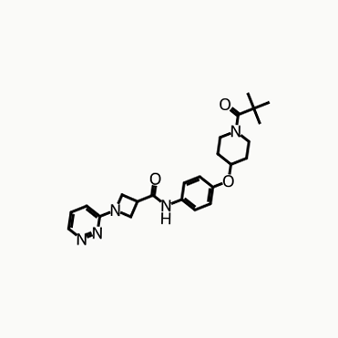 CC(C)(C)C(=O)N1CCC(Oc2ccc(NC(=O)C3CN(c4cccnn4)C3)cc2)CC1